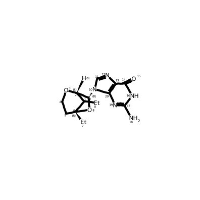 CCC1[C@@H]2OCC[C@@]1(CC)O[C@H]2n1cnc2c(=O)[nH]c(N)nc21